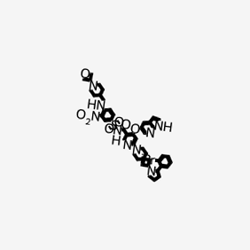 CC(C)c1ccccc1C1CCCN1C1CC2(CCN(c3cc(Oc4cnc5[nH]ccc5c4)c(C(=O)NS(=O)(=O)c4ccc(NCC5CCN(C6COC6)CC5)c([N+](=O)[O-])c4)cn3)CC2)C1